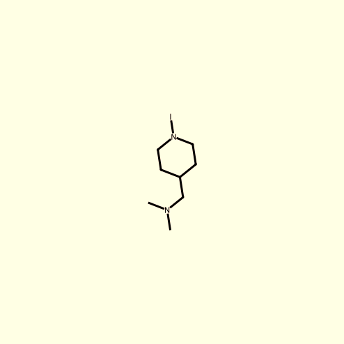 CN(C)CC1CCN(I)CC1